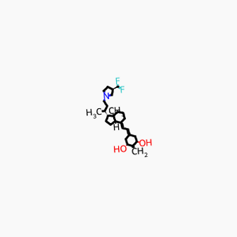 C=C1[C@H](O)CC(=C/C=C2\CCC[C@]3(C)[C@@H](C(C)CCN4CC[C@@H](C(F)F)C4)CC[C@@H]23)C[C@H]1O